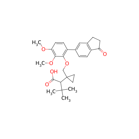 COc1ccc(-c2ccc3c(c2)CCC3=O)c(OCC2(C(C(=O)O)C(C)(C)C)CC2)c1OC